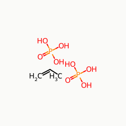 C=CC.O=P(O)(O)O.O=P(O)(O)O